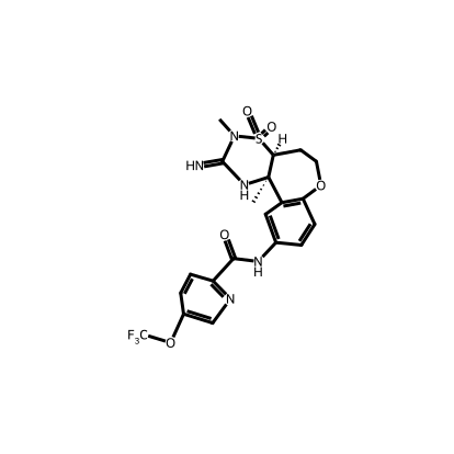 CN1C(=N)N[C@]2(C)c3cc(NC(=O)c4ccc(OC(F)(F)F)cn4)ccc3OCC[C@@H]2S1(=O)=O